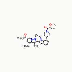 COC(=O)c1cc(OC)c2c(C)c(-c3cc4cccc(C5CCN(C(=O)C6CCCCO6)CC5)c4n3CC3CC3)nn2c1